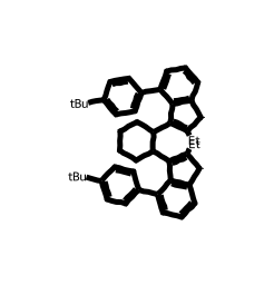 CCC1=C(C2CCCCC2C2=C(CC)[CH]c3cccc(-c4ccc(C(C)(C)C)cc4)c32)c2c(cccc2-c2ccc(C(C)(C)C)cc2)[CH]1